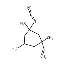 C=CC1(C)CC(C)CC(C)(N=[N+]=[N-])C1